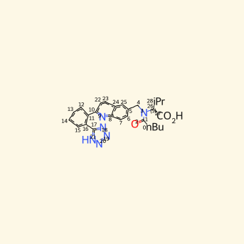 CCCCC(=O)N(Cc1ccc2nc(-c3ccccc3-c3nnn[nH]3)ccc2c1)[C@H](C(=O)O)C(C)C